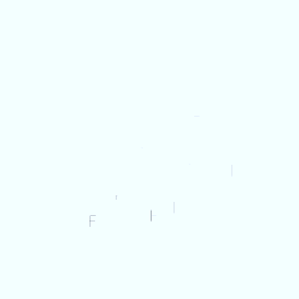 CC(C)C1(C(F)(F)F)C(C)C1(F)F